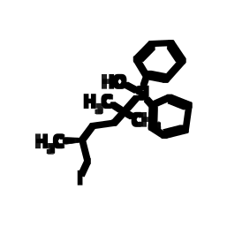 C[C@H](CI)CCC(C)(C)[Si](O)(c1ccccc1)c1ccccc1